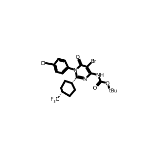 CC(C)(C)OC(=O)Nc1nc([C@H]2CC[C@@H](C(F)(F)F)CC2)n(-c2ccc(Cl)cc2)c(=O)c1Br